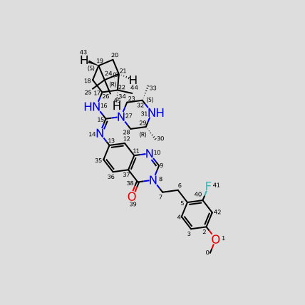 COc1ccc(CCn2cnc3cc(N=C(NC4C[C@@H]5C[C@@H]([C@H]4C)C5(C)C)N4C[C@@H](C)N[C@@H](C)C4)ccc3c2=O)c(F)c1